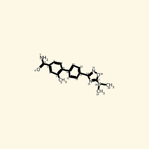 Cc1cc(C(N)=O)ccc1-c1ccc(-c2noc(N(C)C)n2)cc1